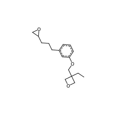 CCC1(COc2cccc(CCCC3CO3)c2)COC1